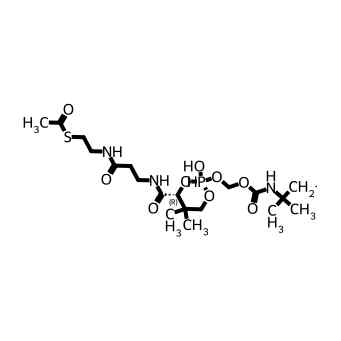 [CH2]C(C)(C)NC(=O)OCO[PH]1(O)OCC(C)(C)[C@H](C(=O)NCCC(=O)NCCSC(C)=O)O1